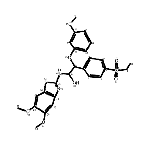 CCS(=O)(=O)c1ccc(C(Oc2cccc(OC)c2)C(O)Nc2nc3cc(OC)c(OC)cc3s2)cc1